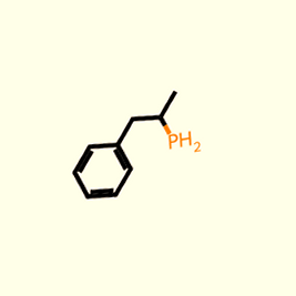 CC(P)Cc1ccccc1